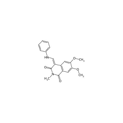 COc1cc2c(cc1OC)/C(=C/Nc1ccccc1)C(=O)N(C)C2=O